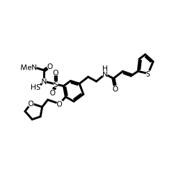 CNC(=O)N(S)S(=O)(=O)c1cc(CCNC(=O)/C=C/c2cccs2)ccc1OCC1CCCO1